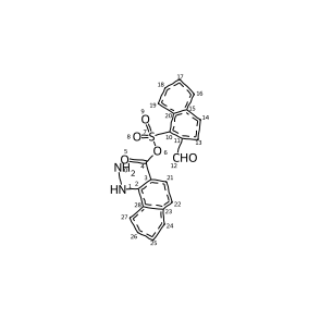 NNc1c(C(=O)OS(=O)(=O)c2c(C=O)ccc3ccccc23)ccc2ccccc12